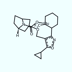 CC(C)(C)OC(=O)N1C2CC[C@H]1CC(OCc1c(C3CCCCC3C(F)(F)F)noc1C1CC1)C2